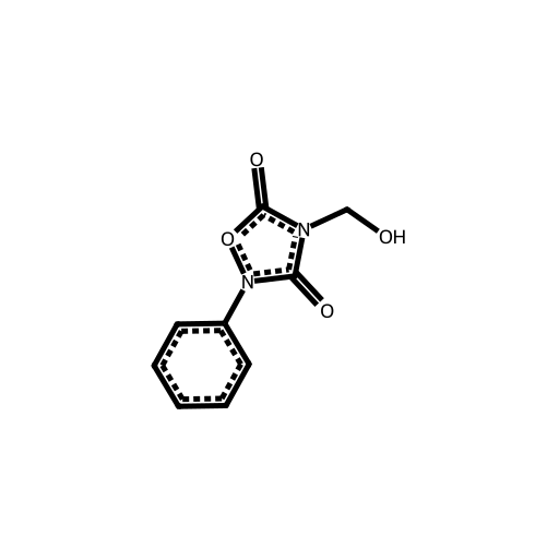 O=c1on(-c2ccccc2)c(=O)n1CO